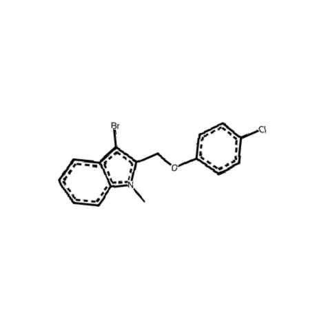 Cn1c(COc2ccc(Cl)cc2)c(Br)c2ccccc21